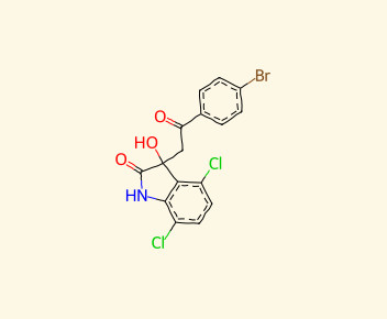 O=C(CC1(O)C(=O)Nc2c(Cl)ccc(Cl)c21)c1ccc(Br)cc1